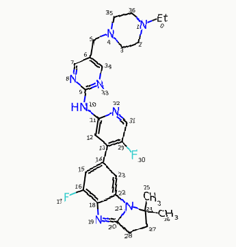 CCN1CCN(Cc2cnc(Nc3cc(-c4cc(F)c5nc6n(c5c4)C(C)(C)CC6)c(F)cn3)nc2)CC1